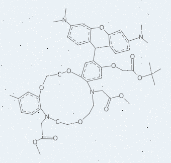 COC(=O)CN1CCOCCN(CC(=O)OC)c2cc(OCC(=O)OC(C)(C)C)c(C3c4ccc(N(C)C)cc4Oc4cc(N(C)C)ccc43)cc2OCCOc2cc(C)ccc21